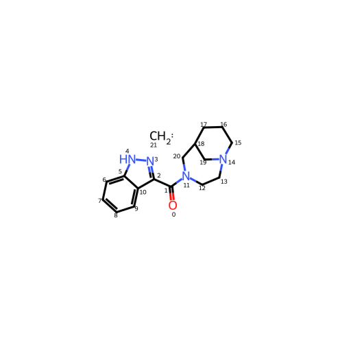 O=C(c1n[nH]c2ccccc12)N1CCN2CCCC(C2)C1.[CH2]